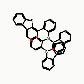 c1ccc(N(c2ccccc2-n2c3ccccc3c3ccccc32)c2cccc3ccccc23)c(-c2cccc3c2sc2ccccc23)c1